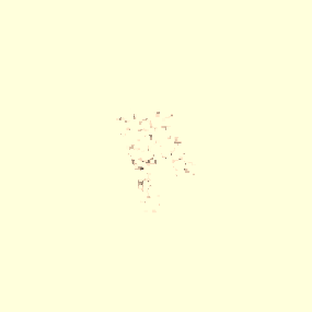 Cc1cc(C(=O)NC[C@@H](O)[C@@H](O)C2O[C@@](OCC3O[C@@H](O[C@@H]4C(CO)O[C@@H](OCCN)C(O)C4O)C(O)C(O)[C@H]3O)(C(=O)O)CC(O)[C@H]2NC(=O)Cn2cc(C3CCCCC3)nn2)c(C)c(C)c1O